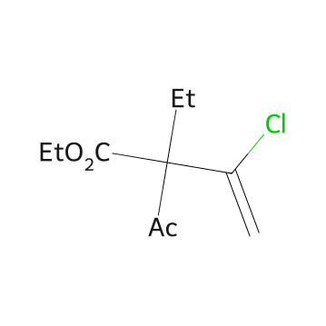 C=C(Cl)C(CC)(C(C)=O)C(=O)OCC